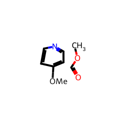 COC=O.COc1ccncc1